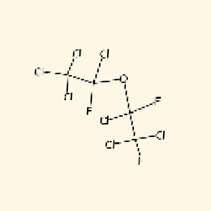 FC(Cl)(Cl)C(F)(Cl)OC(F)(Cl)C(Cl)(Cl)Cl